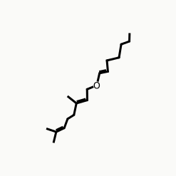 CCCCCC=COC/C=C(\C)CCC=C(C)C